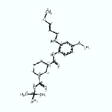 COCCCNc1cc(OC)ccc1NC(=O)[C@@H]1CCCN(C(=O)OC(C)(C)C)C1